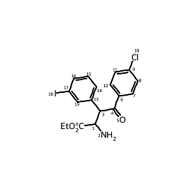 CCOC(=O)C(N)C(C(=O)c1ccc(Cl)cc1)c1cccc(I)c1